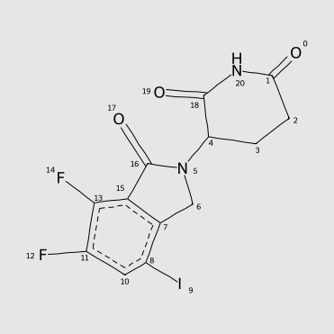 O=C1CCC(N2Cc3c(I)cc(F)c(F)c3C2=O)C(=O)N1